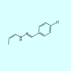 C/C=C\N/N=C/c1ccc(Cl)cc1